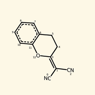 N#CC(C#N)=C1CCc2ccccc2O1